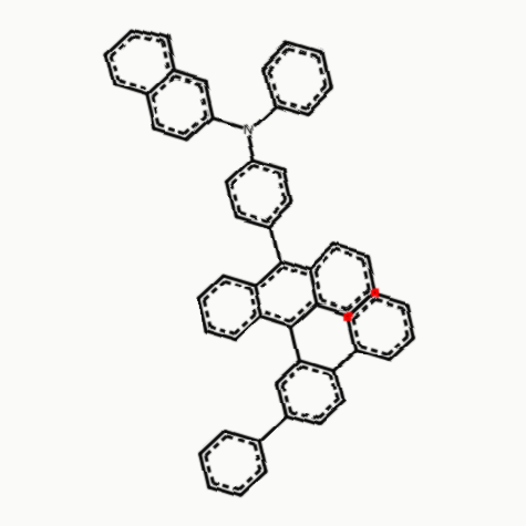 c1ccc(-c2ccc(-c3ccccc3)c(-c3c4ccccc4c(-c4ccc(N(c5ccccc5)c5ccc6ccccc6c5)cc4)c4ccccc34)c2)cc1